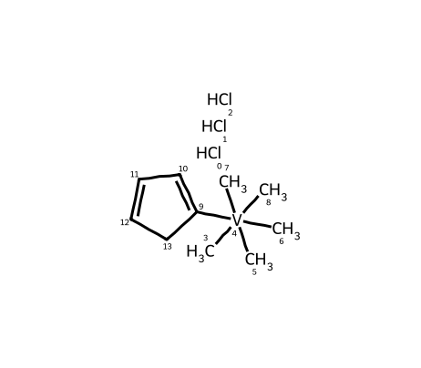 Cl.Cl.Cl.[CH3][V]([CH3])([CH3])([CH3])([CH3])[C]1=CC=CC1